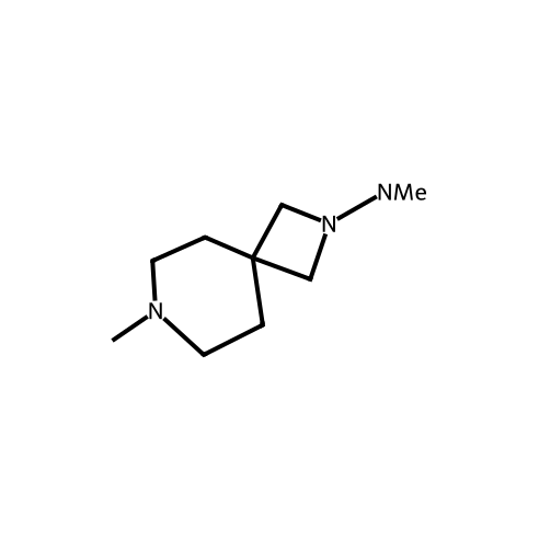 CNN1CC2(CCN(C)CC2)C1